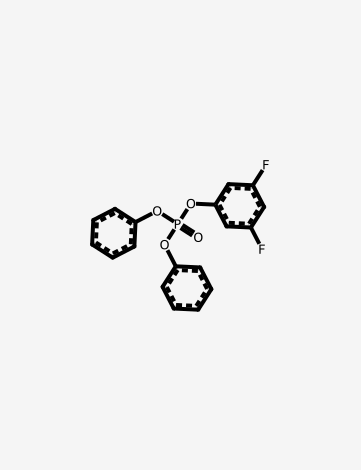 O=P(Oc1ccccc1)(Oc1ccccc1)Oc1cc(F)cc(F)c1